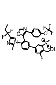 CCC(F)(F)c1cn(-c2ccc(-c3cc(F)c(CO)c(S(C)(=O)=O)c3)cc2-c2ocnc2-c2ccc(OC(F)(F)F)cc2)c(C)n1